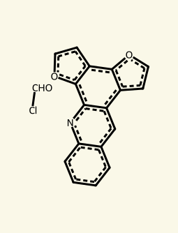 O=CCl.c1ccc2nc3c(cc2c1)c1ccoc1c1ccoc13